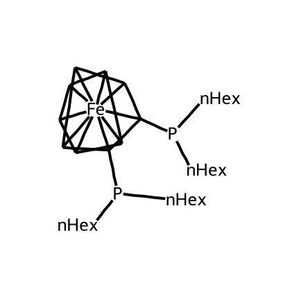 CCCCCCP(CCCCCC)[C]12[CH]3[CH]4[CH]5[C]1(P(CCCCCC)CCCCCC)[Fe]43521678[CH]2[CH]1[CH]6[CH]7[CH]28